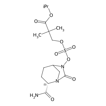 CC(C)OC(=O)C(C)(C)COS(=O)(=O)ON1C(=O)N2CC1CC[C@H]2C(N)=O